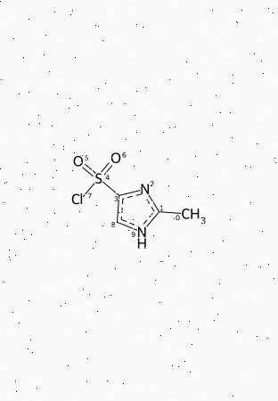 Cc1nc(S(=O)(=O)Cl)c[nH]1